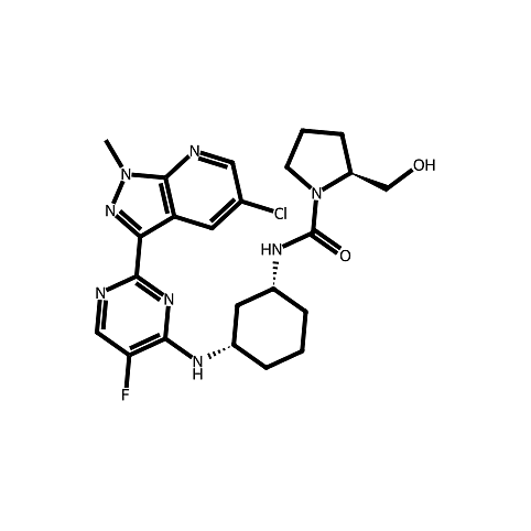 Cn1nc(-c2ncc(F)c(N[C@H]3CCC[C@@H](NC(=O)N4CCC[C@H]4CO)C3)n2)c2cc(Cl)cnc21